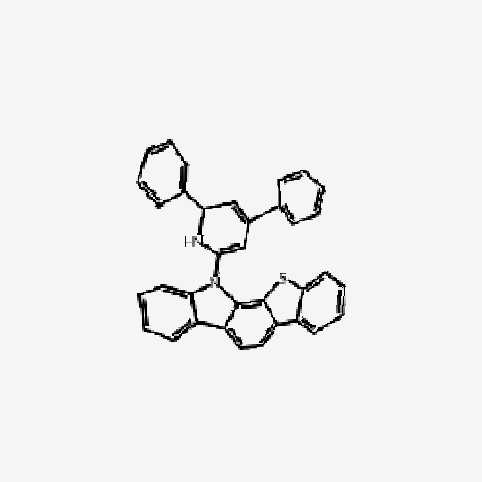 C1=C(c2ccccc2)C=C(n2c3ccccc3c3ccc4c5ccccc5sc4c32)NC1c1ccccc1